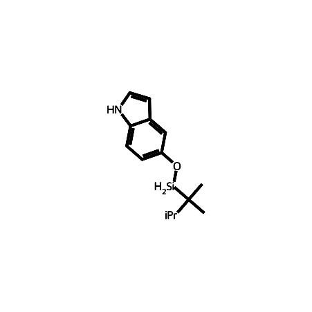 CC(C)C(C)(C)[SiH2]Oc1ccc2[nH]ccc2c1